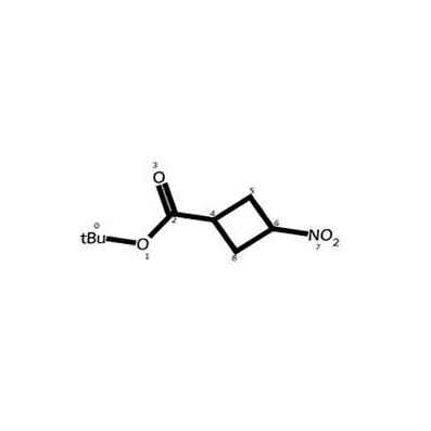 CC(C)(C)OC(=O)C1CC([N+](=O)[O-])C1